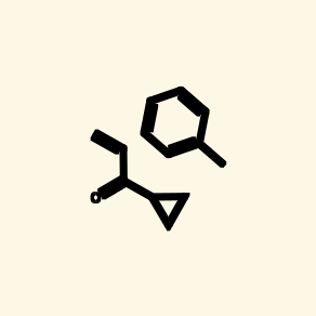 C=CC(=O)C1CC1.Cc1ccccc1